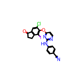 N#Cc1ccc(Nc2nccc(Oc3c(Cl)cc4c(c3I)CCC4=O)n2)cc1